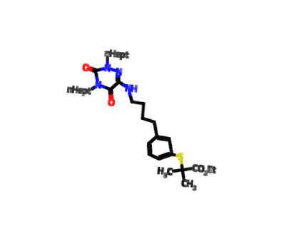 CCCCCCCn1nc(NCCCCc2cccc(SC(C)(C)C(=O)OCC)c2)c(=O)n(CCCCCCC)c1=O